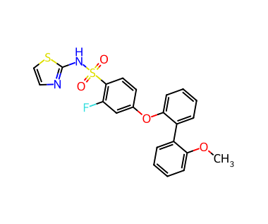 COc1ccccc1-c1ccccc1Oc1ccc(S(=O)(=O)Nc2nccs2)c(F)c1